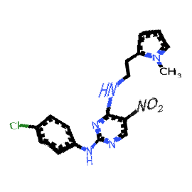 Cn1cccc1CCNc1nc(Nc2ccc(Cl)cc2)ncc1[N+](=O)[O-]